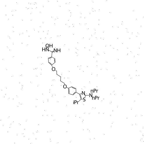 CCCN(CCC)c1nc(-c2ccc(OCCCCCOc3ccc(C(=N)NO)cc3)cc2)c(C(C)C)s1